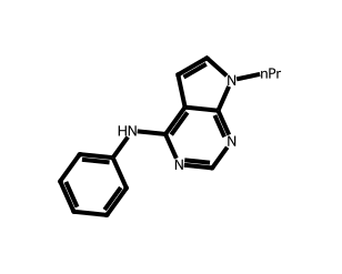 CCCn1ccc2c(Nc3ccccc3)ncnc21